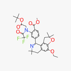 CCOc1cc2c(c3c1OC(C)(C)C3)C(c1ccc(C(=O)OC)c(N(CC(=O)OC(C)(C)C)C(=O)C(F)(F)F)c1)=NC(C)(C)C2